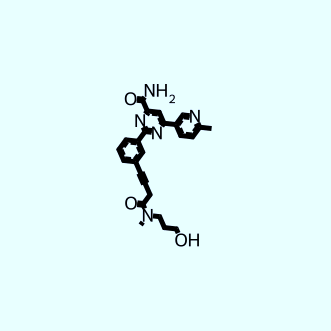 Cc1ccc(-c2cc(C(N)=O)nc(-c3cccc(C#CCC(=O)N(C)CCCO)c3)n2)cn1